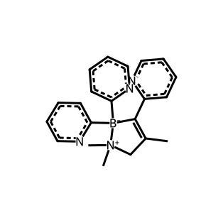 CC1=C(c2ccccn2)[B-](c2ccccn2)(c2ccccn2)[N+](C)(C)C1